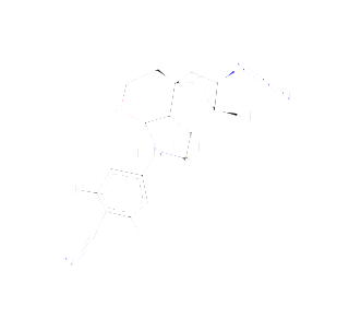 C[C@]12O[C@@]3(CCO[C@H]4[C@@H]3[C@@H]1C(=O)N4c1cc(Cl)c(C#N)c(Cl)c1)C[C@H]2N=[N+]=[N-]